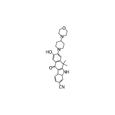 CC1(C)C2=C(C(=O)c3cc(O)c(N4CCC(N5CCOCC5)CC4)cc31)C1C=CC(C#N)=CC1N2